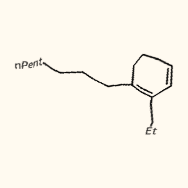 CCCCCCCCC1=C(CC)C=CC1